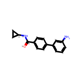 Nc1cccc(-c2ccc(C(=O)NC3CC3)cc2)c1